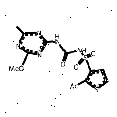 COc1nc(C)nc(NC(=O)NS(=O)(=O)c2ccsc2C(C)=O)n1